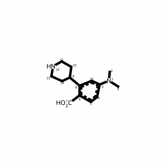 CN(C)c1ccc(C(=O)O)c(C2CCNCC2)c1